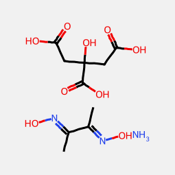 CC(=N\O)/C(C)=N/O.N.O=C(O)CC(O)(CC(=O)O)C(=O)O